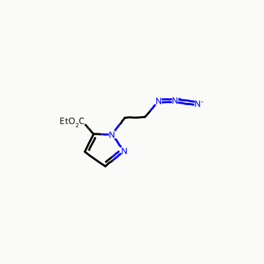 CCOC(=O)c1ccnn1CCN=[N+]=[N-]